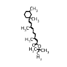 CC(/C=C/C1(C)CCCC(C)C1)=C\C=C\C(C)=C\C(=O)OC(C)(C)C